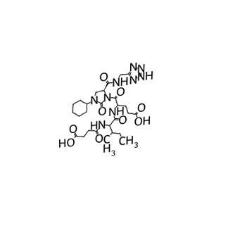 CCC(C)C(NC(=O)CCC(=O)O)C(=O)NC(CCC(=O)O)C(=O)N1C(=O)N(C2CCCCC2)C[C@H]1C(=O)NCc1nn[nH]n1